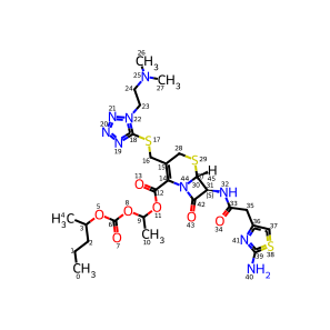 CCCC(C)OC(=O)OC(C)OC(=O)C1=C(CSc2nnnn2CCN(C)C)CS[C@@H]2[C@@H](NC(=O)Cc3csc(N)n3)C(=O)N12